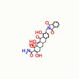 NC(=O)C1=C(O)CC2CC3Cc4ccc(CN5C(=O)c6ccccc6C5=O)c(O)c4C(=O)C3=C(O)C2(O)C1=O